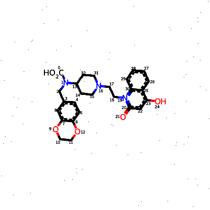 O=C(O)N(Cc1ccc2c(c1)OCCO2)C1CCN(CCn2c(=O)cc(O)c3ccccc32)CC1